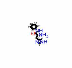 N[C@H](Cc1c[nH]cn1)C(=O)Nc1ccccc1